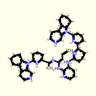 C=C/C=C(\N=C(/C)c1cccc(-n2c3ccccc3c3ccncc32)n1)Nc1ncccc1Nc1cccc(-c2cccc(-n3c4ccccc4c4ccncc43)n2)n1